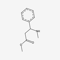 CNC(CC(=O)OC)c1ccccc1